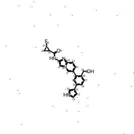 O=C(Nc1cn2cc(-c3cc(-c4cc[nH]c4)ccc3CO)ccc2n1)C1CC1F